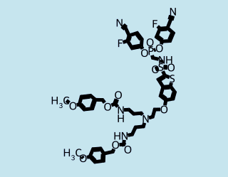 COc1ccc(COC(=O)NCCCN(CCCNC(=O)OCc2ccc(OC)cc2)CCOc2ccc3sc(S(=O)(=O)NCP(=O)(Oc4ccc(C#N)c(F)c4)Oc4ccc(C#N)c(F)c4)cc3c2)cc1